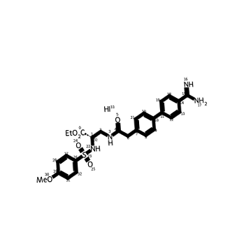 CCOC(=O)[C@H](CNC(=O)Cc1ccc(-c2ccc(C(=N)N)cc2)cc1)NS(=O)(=O)c1ccc(OC)cc1.I